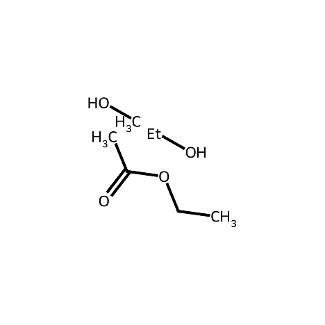 CCO.CCOC(C)=O.CO